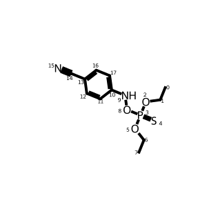 CCOP(=S)(OCC)ONc1ccc(C#N)cc1